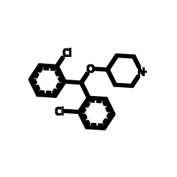 Clc1ccccc1C(OC1CC[N]CC1)c1ccccc1Cl